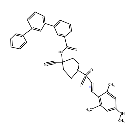 CNc1cc(C)c(/C=C/S(=O)(=O)N2CCC(C#N)(NC(=O)c3cccc(-c4cccc(-c5ccccc5)c4)c3)CC2)c(C)c1